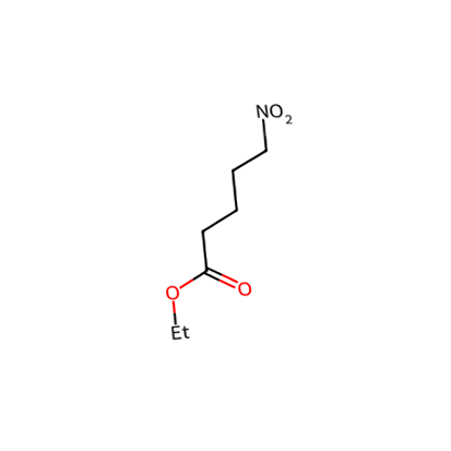 CCOC(=O)CCCC[N+](=O)[O-]